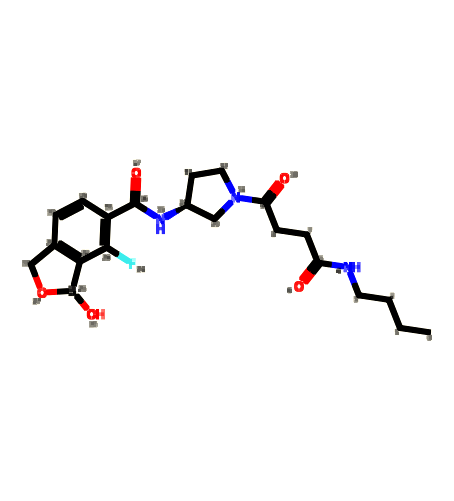 CCCCNC(=O)CCC(=O)N1CC[C@H](NC(=O)c2ccc3c(c2F)B(O)OC3)C1